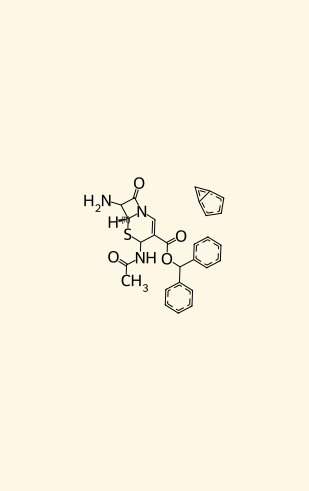 CC(=O)NC1S[C@@H]2C(N)C(=O)N2C=C1C(=O)OC(c1ccccc1)c1ccccc1.c1cc2cc-2c1